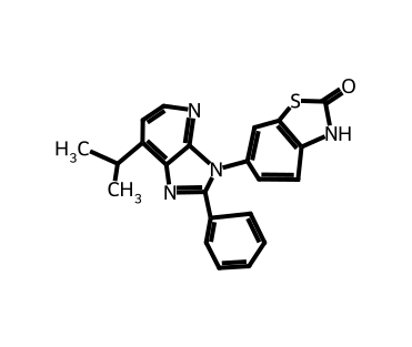 CC(C)c1ccnc2c1nc(-c1ccccc1)n2-c1ccc2[nH]c(=O)sc2c1